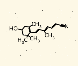 CC1=C(/C=C/C(C)=C/C=C/C#N)C(C)(C)CC(O)C1